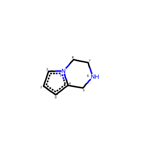 [c]1ccn2c1CNCC2